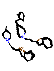 CC1CCN(CCCc2cc3ccccc3s2)CC1.c1ccc(CC2CCN(CCCc3cc4ccccc4s3)CC2)cc1